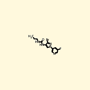 CCCNC(=O)Nc1cn(-c2cncc(F)c2)nc1Br